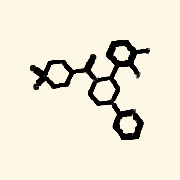 O=C(C1CCS(=O)(=O)CC1)N1CCN(c2ccccn2)CC1c1cccc(F)c1F